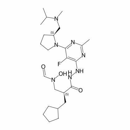 Cc1nc(NNC(=O)[C@@H](CC2CCCC2)CN(O)C=O)c(F)c(N2CCC[C@H]2CN(C)C(C)C)n1